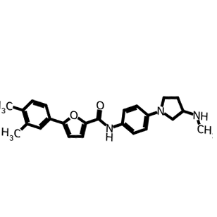 CNC1CCN(c2ccc(NC(=O)c3ccc(-c4ccc(C)c(C)c4)o3)cc2)C1